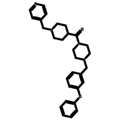 O=C(C1CCN(Cc2ccncc2)CC1)N1CCN(Cc2cccc(Oc3ccccc3)c2)CC1